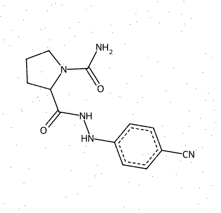 N#Cc1ccc(NNC(=O)C2CCCN2C(N)=O)cc1